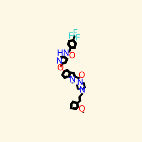 COc1ccccc1C=CCN1CCN(C(=O)c2cc3cc(Oc4ccc(NC(=O)c5ccc(C(F)(F)F)cc5)cn4)ccc3n2C)CC1